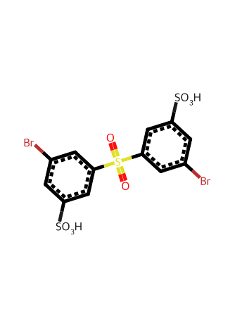 O=S(=O)(O)c1cc(Br)cc(S(=O)(=O)c2cc(Br)cc(S(=O)(=O)O)c2)c1